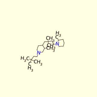 CC1CN(CCC(C)(C)C)CCC1CC(C)(C)CCN1CCCCC1C